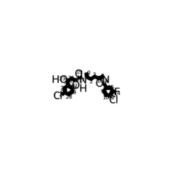 C=C(CCc1cnc(-c2ccc(Cl)c(F)c2)o1)NC(=O)[C@H]1C[C@@H](O)c2cc(Cl)ccc2O1